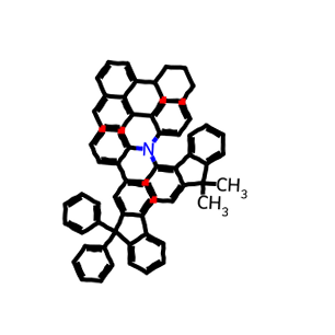 CC1(C)c2ccccc2-c2c(N(c3ccccc3-c3ccc4c(c3)C(c3ccccc3)(c3ccccc3)c3ccccc3-4)c3ccccc3-c3cccc4cccc(C5CCCCC5)c34)cccc21